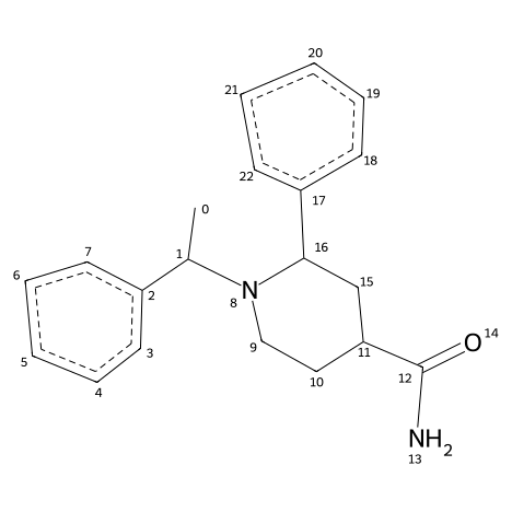 CC(c1ccccc1)N1CCC(C(N)=O)CC1c1ccccc1